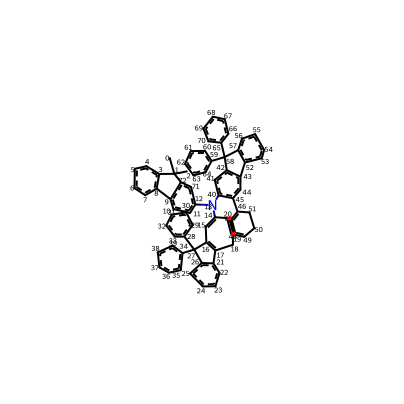 CC1(C)c2ccccc2-c2ccc(N(C3=CC4=C(CC#C3)c3ccccc3C4(c3ccccc3)c3ccccc3)c3cc4c(cc3C3=CC=CCC3)-c3ccccc3C4(c3ccccc3)c3ccccc3)cc21